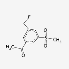 CC(=O)c1cc(CF)cc(S(C)(=O)=O)c1